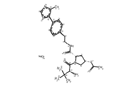 CC(=O)O[C@H]1C[C@@H](C(=O)NCCc2ccc(-c3scnc3C)cc2)N(C(=O)[C@@H](N)C(C)(C)C)C1.Cl